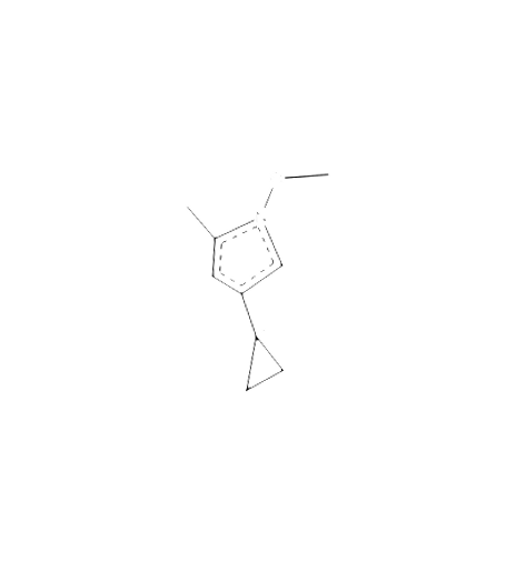 [CH2]c1cc(C2CC2)cn1OC